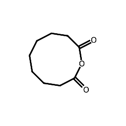 O=C1CCCCCCCC(=O)O1